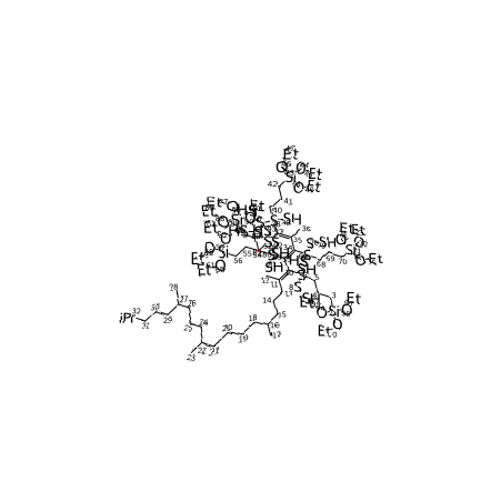 CCO[Si](CCCS(S)(SS)C(=C(C)CCCC(C)CCCCC(C)CCCC(C)CCCC(C)C)C(=C(C(C)=C(S(S)(CCC[Si](OCC)(OCC)OCC)SS)S(S)(CCC[Si](OCC)(OCC)OCC)SS)S(S)(CCC[Si](OCC)(OCC)OCC)SS)S(S)(CCC[Si](OCC)(OCC)OCC)SS)(OCC)OCC